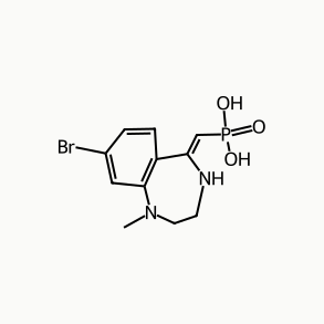 CN1CCNC(=CP(=O)(O)O)c2ccc(Br)cc21